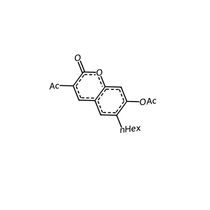 CCCCCCc1cc2cc(C(C)=O)c(=O)oc2cc1OC(C)=O